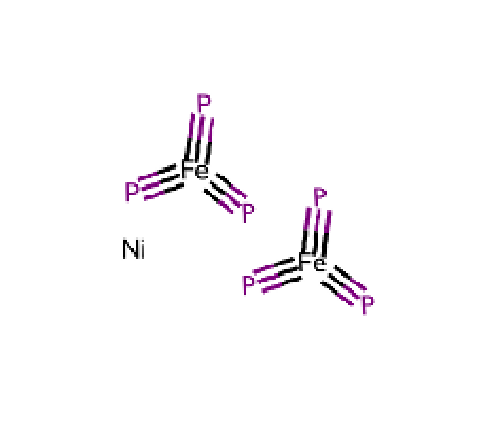 [Ni].[P]#[Fe](#[P])#[P].[P]#[Fe](#[P])#[P]